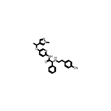 CC(Oc1ccc(NC(=O)[C@@H](NCCc2ccc(C#N)cc2)c2ccccc2)nc1)c1cnn(C)c1